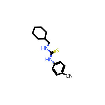 N#Cc1ccc(NC(=S)NCC2CCCCC2)cc1